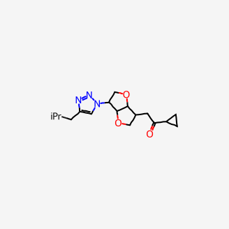 CC(C)Cc1cn(C2COC3C(CC(=O)C4CC4)COC32)nn1